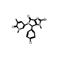 Cc1cc(N2C(=O)c3nc(Br)n(C)c3C2c2ccc(Cl)cc2)cn(C)c1=O